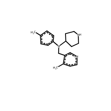 Cc1ccc(N(Cc2cnccc2C)C2CCNCC2)cc1